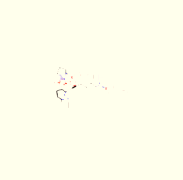 Cc1ccc(S(=O)(=O)N2CCC[C@H]2C(=O)OC(C)(C)C)c(C#CCCCCNC(=O)OC(C)(C)C)n1